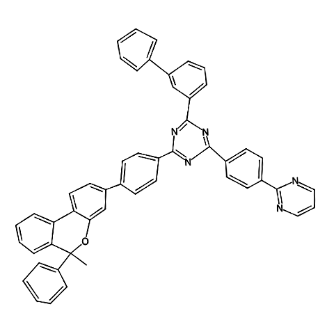 CC1(c2ccccc2)Oc2cc(-c3ccc(-c4nc(-c5ccc(-c6ncccn6)cc5)nc(-c5cccc(-c6ccccc6)c5)n4)cc3)ccc2-c2ccccc21